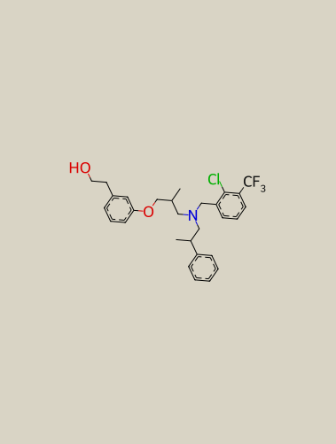 CC(COc1cccc(CCO)c1)CN(Cc1cccc(C(F)(F)F)c1Cl)CC(C)c1ccccc1